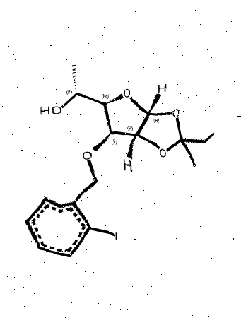 C[C@@H](O)[C@H]1O[C@@H]2OC(C)(C)O[C@@H]2[C@H]1OCc1ccccc1I